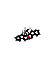 C[CH2][Zr]([CH2]C)([c]1cccc2c1Cc1ccccc1-2)([c]1cccc2c1Cc1ccccc1-2)=[Si](C)C